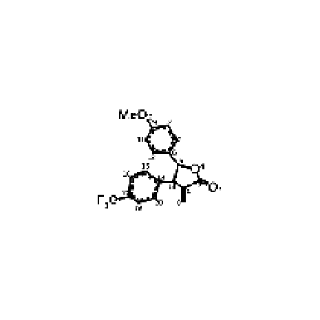 C=C1C(=O)O[C@H](c2ccc(OC)cc2)[C@@H]1c1ccc(C(F)(F)F)cc1